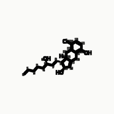 CCCCC[C@H](O)CC[C@H]1[C@H](O)C=C2Cc3c(O)ccc(Cl)c3C[C@@H]21